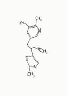 Cc1ccc(C(C)Cc2cnc(C)c(C(C)C)c2)cn1